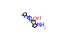 Cc1cccc(N2CCN([C@H]3Cc4cccc(N)c4C[C@@H]3O)CC2)c1C